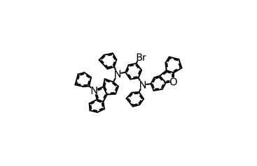 Brc1cc(N(c2ccccc2)c2ccc3oc4ccccc4c3c2)cc(N(c2ccccc2)c2ccc3c4ccccc4n(-c4ccccc4)c3c2)c1